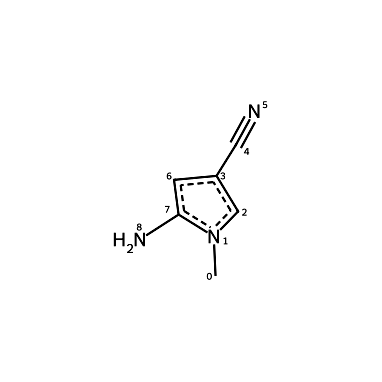 Cn1cc(C#N)cc1N